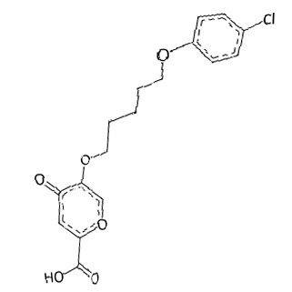 O=C(O)c1cc(=O)c(OCCCCCOc2ccc(Cl)cc2)co1